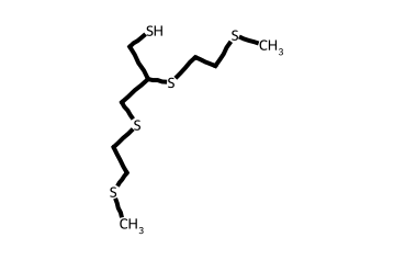 CSCCSCC(CS)SCCSC